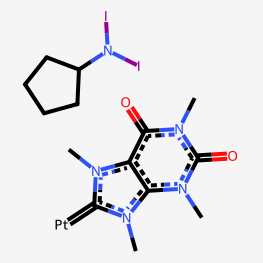 Cn1c(=O)c2c(n(C)c1=O)n(C)[c](=[Pt])n2C.IN(I)C1CCCC1